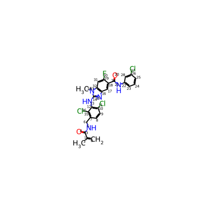 C=C(C)C(=O)NCc1ccc(Cl)c(Nc2nc3cc(C(=O)Nc4cccc(Cl)c4)c(F)cc3n2C)c1Cl